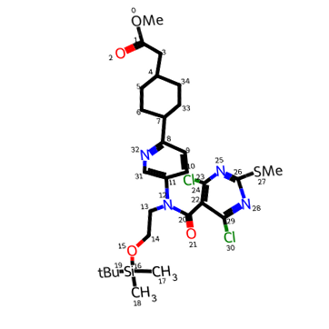 COC(=O)CC1CCC(c2ccc(N(CCO[Si](C)(C)C(C)(C)C)C(=O)c3c(Cl)nc(SC)nc3Cl)cn2)CC1